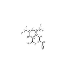 CC(C)c1cc(C(C)C)c(CCC=O)c(C(C)C)c1